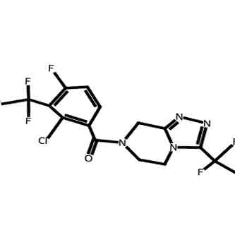 O=C(c1ccc(F)c(C(F)(F)F)c1Cl)N1CCn2c(nnc2C(F)(F)F)C1